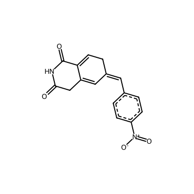 O=C1CC2=CC(=Cc3ccc([N+](=O)[O-])cc3)CC=C2C(=O)N1